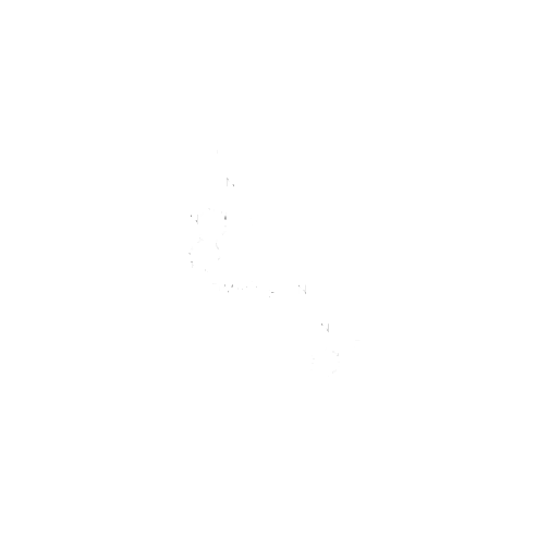 COc1ccc2ncc(CN3CCOCC3)c(C(O)CCC3(CC(=O)O)CCN(CCNc4c(F)cc(F)cc4F)CC3)c2c1